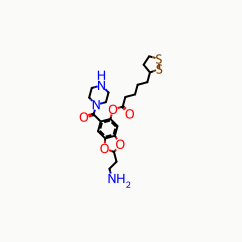 NCCC1Oc2cc(OC(=O)CCCCC3CCSS3)c(C(=O)N3CCNCC3)cc2O1